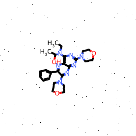 CCN(c1nc(N2CCOCC2)nc2nc(N3CCOCC3)c(-c3ccccc3)nc12)C(C)O